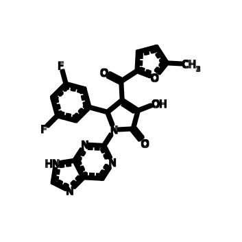 Cc1ccc(C(=O)C2=C(O)C(=O)N(c3ncc4nc[nH]c4n3)C2c2cc(F)cc(F)c2)o1